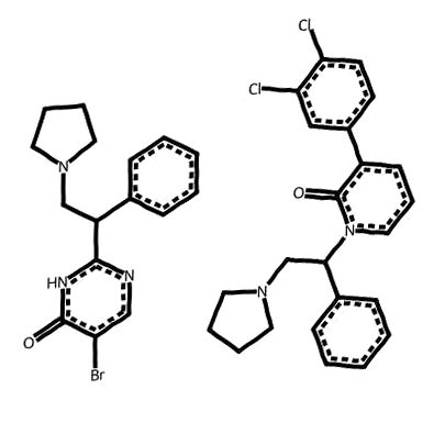 O=c1[nH]c(C(CN2CCCC2)c2ccccc2)ncc1Br.O=c1c(-c2ccc(Cl)c(Cl)c2)cccn1C(CN1CCCC1)c1ccccc1